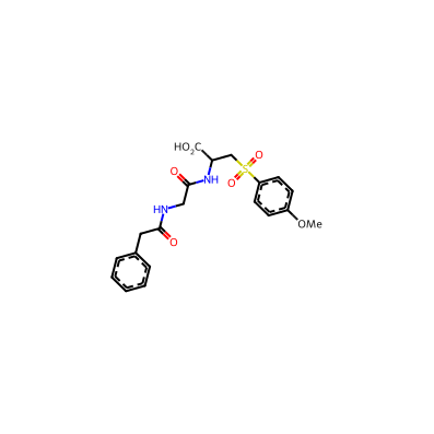 COc1ccc(S(=O)(=O)CC(NC(=O)CNC(=O)Cc2ccccc2)C(=O)O)cc1